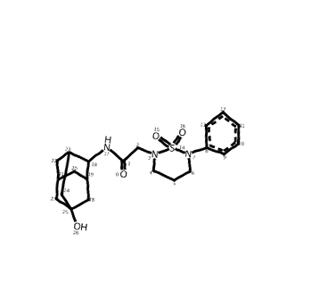 O=C(CN1CCCN(c2ccccc2)S1(=O)=O)NC1C2CC3CC1CC(O)(C3)C2